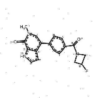 Cn1cc(-c2ccc(C(=O)N3CC(F)C3)cc2)c2cc[nH]c2c1=O